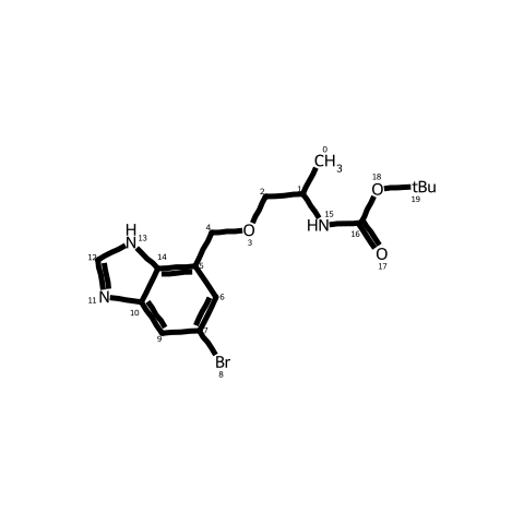 CC(COCc1cc(Br)cc2nc[nH]c12)NC(=O)OC(C)(C)C